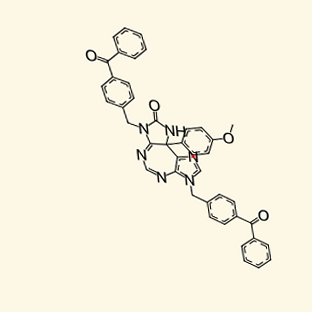 COc1ccc(C23NC(=O)N(Cc4ccc(C(=O)c5ccccc5)cc4)C2=NC=Nc2c3ncn2Cc2ccc(C(=O)c3ccccc3)cc2)cc1